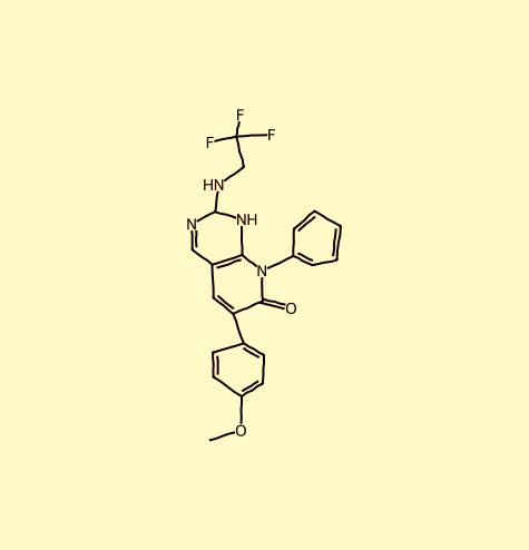 COc1ccc(-c2cc3c(n(-c4ccccc4)c2=O)NC(NCC(F)(F)F)N=C3)cc1